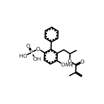 C=C(C)C(=O)OC(C)Cc1c(OC)ccc(OP(=O)(O)O)c1-c1ccccc1